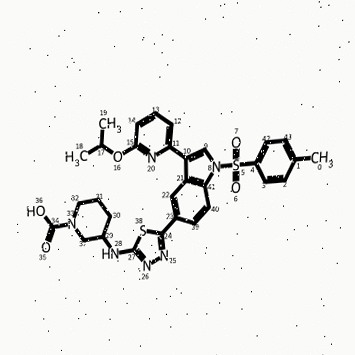 Cc1ccc(S(=O)(=O)n2cc(-c3cccc(OC(C)C)n3)c3cc(-c4nnc(NC5CCCN(C(=O)O)C5)s4)ccc32)cc1